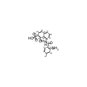 Cc1ccc(C(=O)Nc2cccc3ccc(S(=O)(=O)O)c(O)c23)c(N)c1